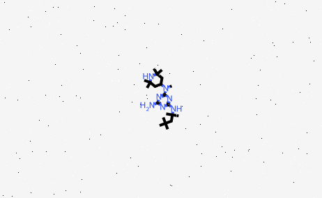 CN(c1nc(N)nc(NC(C)(C)CC(C)(C)C)n1)C1CC(C)(C)NC(C)(C)C1